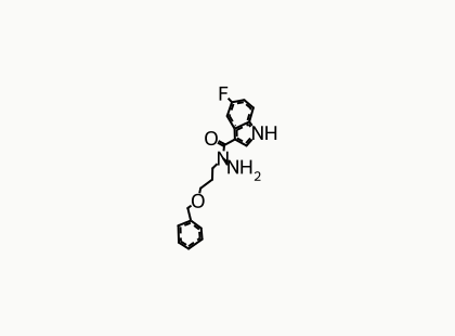 NN(CCCOCc1ccccc1)C(=O)c1c[nH]c2ccc(F)cc12